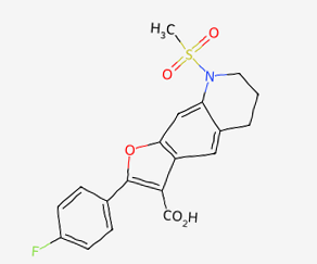 CS(=O)(=O)N1CCCc2cc3c(C(=O)O)c(-c4ccc(F)cc4)oc3cc21